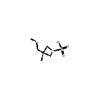 COCC1(C)CN(S(=O)(=O)Cl)C1